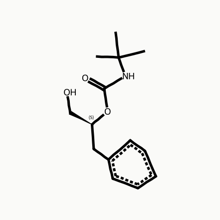 CC(C)(C)NC(=O)O[C@H](CO)Cc1ccccc1